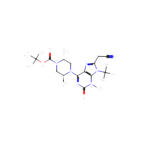 [2H]C([2H])([2H])n1c(CC#N)nc2c(N3C[C@@H](C)N(C(=O)OC(C)(C)C)C[C@@H]3C)nc(=O)n(C)c21